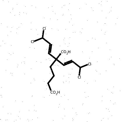 O=C(O)CCCC(C=CC(Cl)Cl)(C=CC(Cl)Cl)C(=O)O